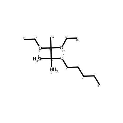 CCCCCOC(N)([SiH3])C(C)(OCC)OCC